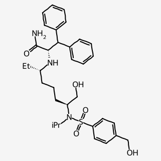 CC[C@@H](CCC[C@@H](CO)N(C(C)C)S(=O)(=O)c1ccc(CO)cc1)N[C@H](C(N)=O)C(c1ccccc1)c1ccccc1